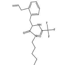 C=CCc1ccccc1CC(NC(=O)C(F)(F)F)C(=O)NCCCCC